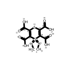 CN=S1(=NC)C(C(=O)O)=C(C(=O)O)SC(C(=O)O)=C1C(=O)O